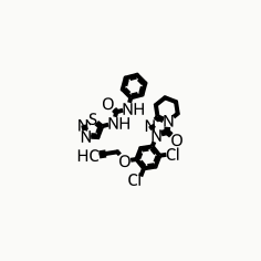 C#CCOc1cc(-n2nc3n(c2=O)CCCC3)c(Cl)cc1Cl.O=C(Nc1ccccc1)Nc1cnns1